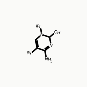 CC(C)C1=CN(C(C)C)C(O)N=C1N